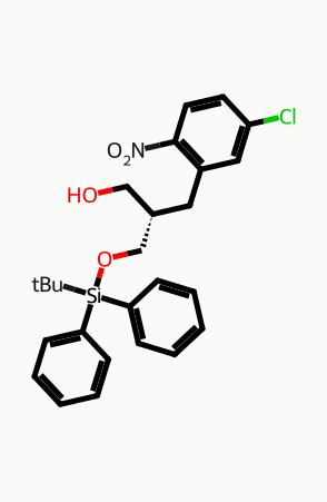 CC(C)(C)[Si](OC[C@H](CO)Cc1cc(Cl)ccc1[N+](=O)[O-])(c1ccccc1)c1ccccc1